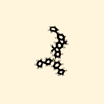 CC1(C)c2ccc(-c3ccccc3)cc2-c2cc3c(cc21)-c1ccc(N(c2ccc(-c4ccccc4)cc2)c2ccc(-c4ccccc4)cc2)cc1C3(C)C